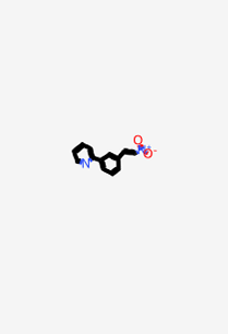 O=[N+]([O-])/C=C/c1cccc(-c2ccccn2)c1